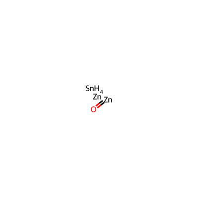 [O]=[Zn].[SnH4].[Zn]